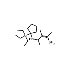 CC[Si](CC)(CC)C1(NC(C)C(C)=C(C)[SiH3])CCCC1